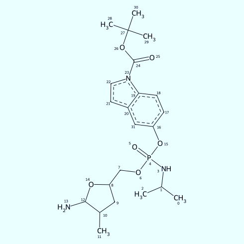 CC(C)NP(=O)(OCC1CC(C)C(N)O1)Oc1ccc2c(ccn2C(=O)OC(C)(C)C)c1